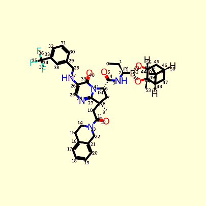 CC[C@H](NC(=O)[C@@H]1C[C@@](C)(CC(=O)N2CCc3ccccc3C2)c2ncc(NCc3cccc(C(F)(F)F)c3)c(=O)n21)B1O[C@@H]2C[C@@H]3C[C@@H](C3(C)C)[C@]2(C)O1